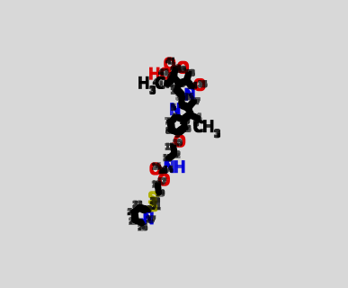 CCc1c2c(nc3ccc(OCCCNC(=O)OCCSSc4ccccn4)cc13)-c1cc3c(c(=O)n1C2)COC(=O)[C@]3(O)CC